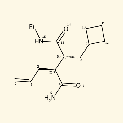 C=CC[C@H](C(N)=O)[C@@H](CC1CCC1)C(=O)NCC